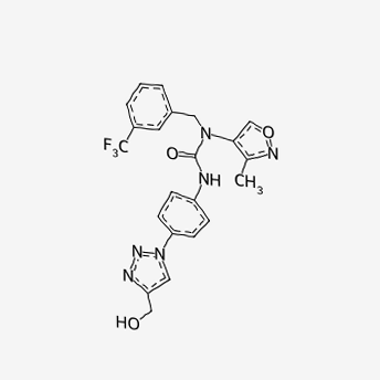 Cc1nocc1N(Cc1cccc(C(F)(F)F)c1)C(=O)Nc1ccc(-n2cc(CO)nn2)cc1